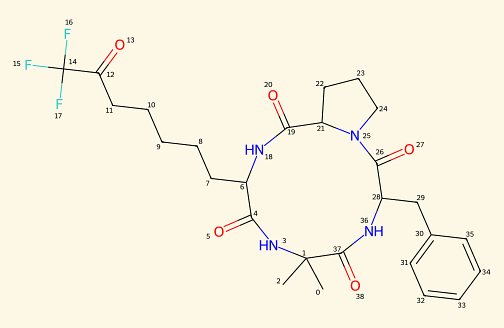 CC1(C)NC(=O)C(CCCCCC(=O)C(F)(F)F)NC(=O)C2CCCN2C(=O)C(Cc2ccccc2)NC1=O